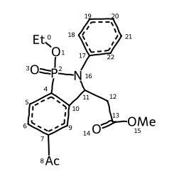 CCOP1(=O)c2ccc(C(C)=O)cc2C(CC(=O)OC)N1c1ccccc1